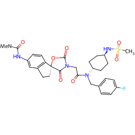 CNC(=O)Nc1ccc2c(c1)CC[C@@]21OC(=O)N(CC(=O)N(Cc2ccc(F)cc2)[C@H]2CC[C@H](NS(C)(=O)=O)CC2)C1=O